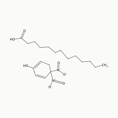 CCCCCCCCCCCCC(=O)O.O=[N+]([O-])C1([N+](=O)[O-])C=CC(O)=CC1